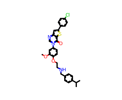 COc1cc(-n2cnc3cc(-c4ccc(Cl)cc4)sc3c2=O)ccc1OCCNCc1ccc(C(C)C)cc1